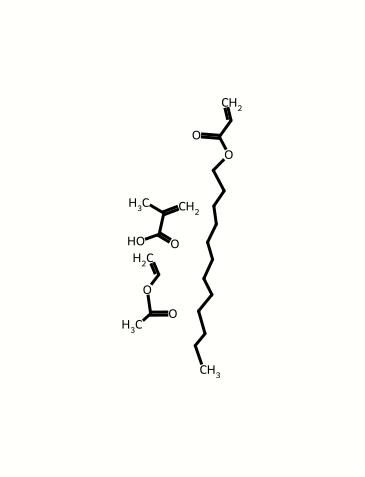 C=C(C)C(=O)O.C=CC(=O)OCCCCCCCCCCCC.C=COC(C)=O